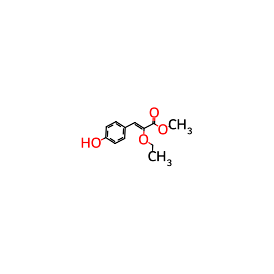 CCOC(=Cc1ccc(O)cc1)C(=O)OC